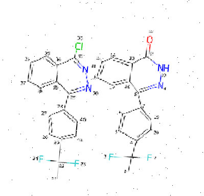 CC(F)(F)c1ccc(-c2n[nH]c(=O)c3ccccc23)cc1.CC(F)(F)c1ccc(-c2nnc(Cl)c3ccccc23)cc1